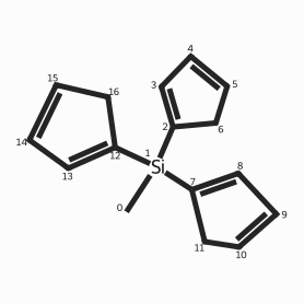 C[Si](C1=CC=CC1)(C1=CC=CC1)C1=CC=CC1